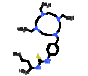 CSCCC(NC(=S)Nc1ccc(CN2CCN(CC(=O)O)CCN(CC(=O)O)CCN(CC(=O)O)CC2)cc1)C(=O)O